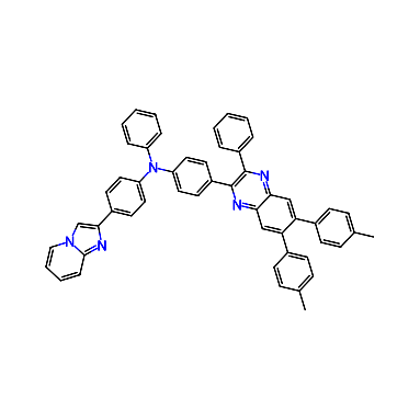 Cc1ccc(-c2cc3nc(-c4ccccc4)c(-c4ccc(N(c5ccccc5)c5ccc(-c6cn7ccccc7n6)cc5)cc4)nc3cc2-c2ccc(C)cc2)cc1